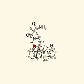 Cc1cccc(C2(CCN3[C@@H]4CC[C@H]3CC(n3c(C)nc5ccccc53)C4)CCN(C(=O)C(C)(C)C(N)=O)CC2)c1